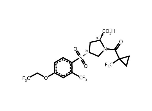 O=C(O)[C@@H]1C[C@@H](S(=O)(=O)c2ccc(OCC(F)(F)F)cc2C(F)(F)F)CN1C(=O)C1(C(F)(F)F)CC1